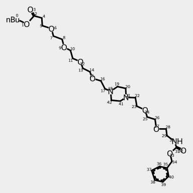 CCCCOC(=O)CCOCCOCCOCCOCCN1CCN(CCOCCOCCNC(=O)OCc2ccccc2)CC1